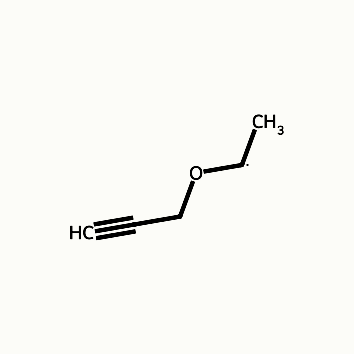 C#CCO[CH]C